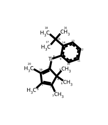 CC1=C(C)C(C)(C)[C]([Ti][c]2ccccc2C(C)(C)C)=C1C